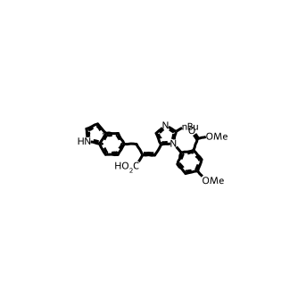 CCCCc1ncc(/C=C(\Cc2ccc3[nH]ccc3c2)C(=O)O)n1-c1ccc(OC)cc1C(=O)OC